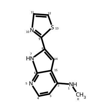 CNc1ccnc2[nH]c(-c3nccs3)cc12